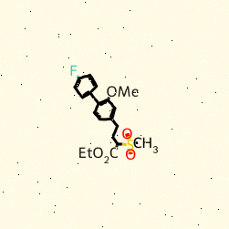 CCOC(=O)C(CCc1ccc(-c2ccc(F)cc2)c(OC)c1)S(C)(=O)=O